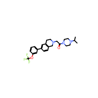 CC(C)N1CCN(C(=O)CN2CCc3cc(-c4cccc(OC(F)(F)F)c4)ccc3C2)CC1